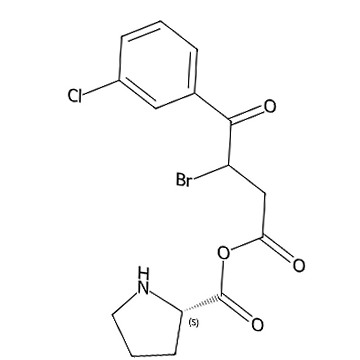 O=C(CC(Br)C(=O)c1cccc(Cl)c1)OC(=O)[C@@H]1CCCN1